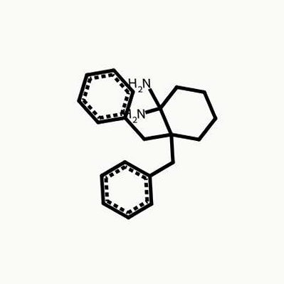 NC1(N)CCCCC1(Cc1ccccc1)Cc1ccccc1